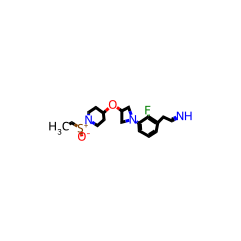 CC[S+]([O-])N1CCC(OC2CN(c3cccc(CC=N)c3F)C2)CC1